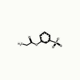 CCC(=O)Oc1cccc(S(=O)(=O)Cl)c1